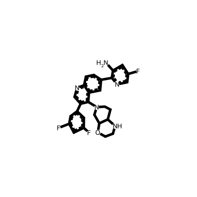 Nc1cc(F)cnc1-c1ccc2ncc(-c3cc(F)cc(F)c3)c(N3CCC4NCCOC4C3)c2c1